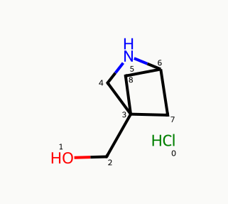 Cl.OCC12CNC(C1)C2